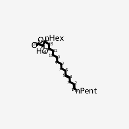 CCCCCC=CCC=CCCCCCCCC(O)C[C@@]1(CCCCCC)CC(=O)O1